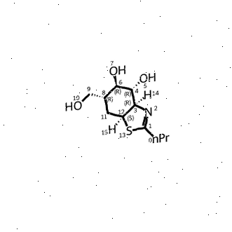 CCCC1=N[C@@H]2[C@@H](O)[C@H](O)[C@@H](CO)C[C@@H]2S1